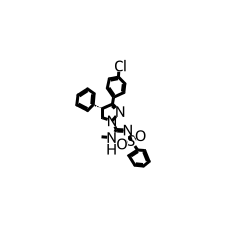 CN/C(=N\S(=O)(=O)c1ccccc1)N1C[C@H](c2ccccc2)C(c2ccc(Cl)cc2)=N1